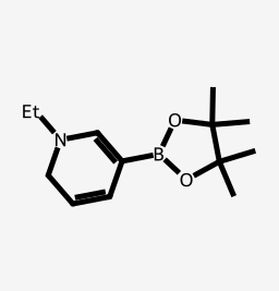 CCN1C=C(B2OC(C)(C)C(C)(C)O2)C=CC1